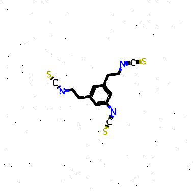 S=C=NCCc1cc(CCN=C=S)cc(N=C=S)c1